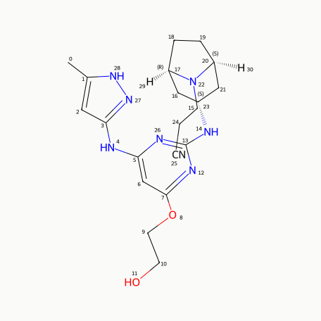 Cc1cc(Nc2cc(OCCO)nc(N[C@@H]3C[C@H]4CC[C@@H](C3)N4CCC#N)n2)n[nH]1